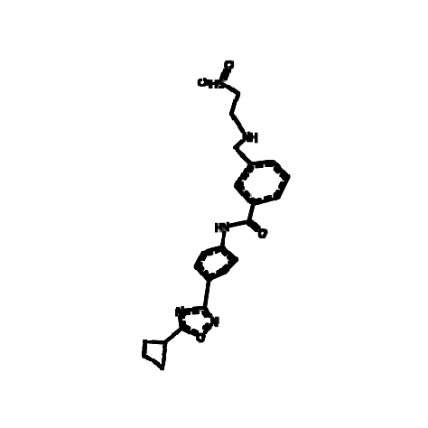 O=C(Nc1ccc(-c2noc(C3CCC3)n2)cc1)c1cccc(CNCC[SH](=O)=O)c1